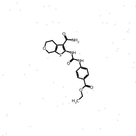 CCOC(=O)c1ccc(NC(=O)Nc2sc3c(c2C(N)=O)CCOC3)cc1